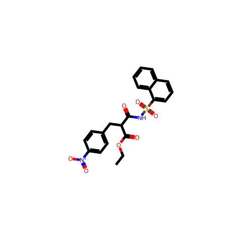 CCOC(=O)C(Cc1ccc([N+](=O)[O-])cc1)C(=O)NS(=O)(=O)c1cccc2ccccc12